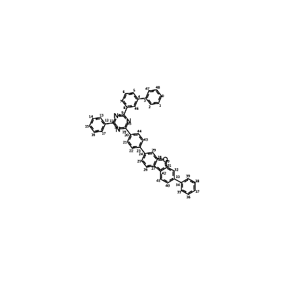 c1ccc(-c2cccc(-c3nc(-c4ccccc4)nc(-c4ccc(-c5ccc6c(c5)oc5cc(-c7ccccc7)ccc56)cc4)n3)c2)cc1